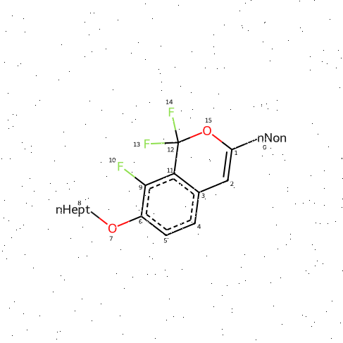 CCCCCCCCCC1=Cc2ccc(OCCCCCCC)c(F)c2C(F)(F)O1